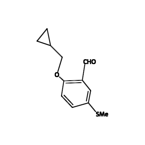 CSc1ccc(OCC2CC2)c(C=O)c1